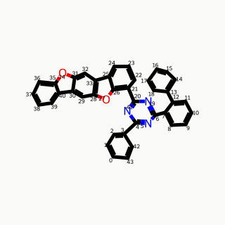 c1ccc(-c2nc(-c3ccccc3-c3ccccc3)nc(-c3cccc4c3oc3cc5c(cc34)oc3ccccc35)n2)cc1